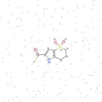 O=C(F)c1cc2c([nH]1)CCCS2(=O)=O